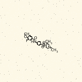 CCN1CCN(S(=O)(=O)c2ccc(NC(=O)c3ccc(OC)c(I)c3)cc2)[C@@H](C)C1